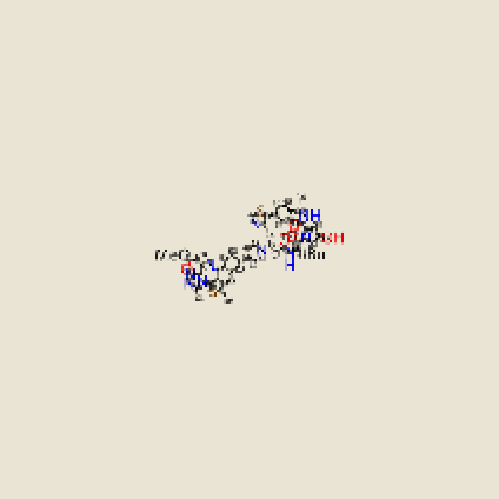 COC(=O)[C@@H](C)[C@@H]1N=C(c2ccc(C3=CCN(CCC(=O)N[C@H](C(=O)N4C[C@H](O)C[C@H]4C(=O)N[C@@H](C)c4ccc(-c5scnc5C)cc4)C(C)(C)C)CC3)cc2)c2c(sc(C)c2C)-n2c(C)nnc21